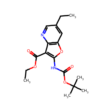 CCOC(=O)c1c(NC(=O)OC(C)(C)C)oc2cc(CC)cnc12